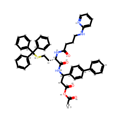 O=C(CCCNc1ccccn1)N[C@@H](CCSC(c1ccccc1)(c1ccccc1)c1ccccc1)C(=O)NC(CC(=O)OC(=O)C(F)(F)F)c1ccc(-c2ccccc2)cc1